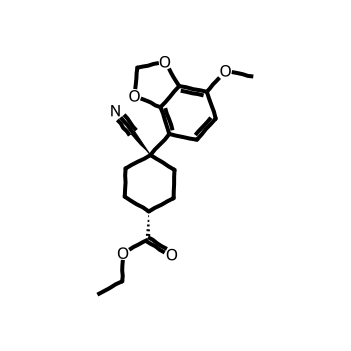 CCOC(=O)[C@H]1CC[C@@](C#N)(c2ccc(OC)c3c2OCO3)CC1